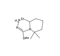 CCC1CCCC(C)(C)N1/C(=N\N)SC